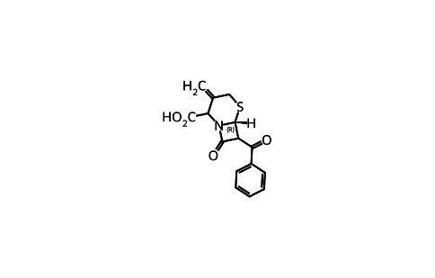 C=C1CS[C@@H]2C(C(=O)c3ccccc3)C(=O)N2C1C(=O)O